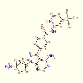 Nc1ncnc2c1c(-c1ccc(C(=O)Nc3cc(C(F)(F)F)ccn3)cc1)nn2C12CCC(N)(CC1)C2